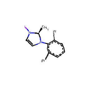 CC(C)c1cccc(C(C)C)c1N1C=CN(I)[C@H]1C